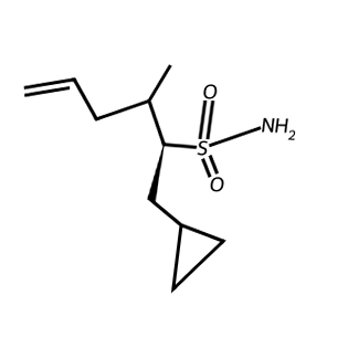 C=CCC(C)[C@H](CC1CC1)S(N)(=O)=O